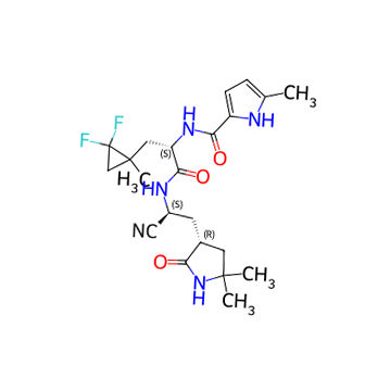 Cc1ccc(C(=O)N[C@@H](CC2(C)CC2(F)F)C(=O)N[C@H](C#N)C[C@@H]2CC(C)(C)NC2=O)[nH]1